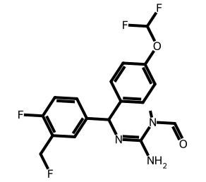 CN(C=O)/C(N)=N\C(c1ccc(OC(F)F)cc1)c1ccc(F)c(CF)c1